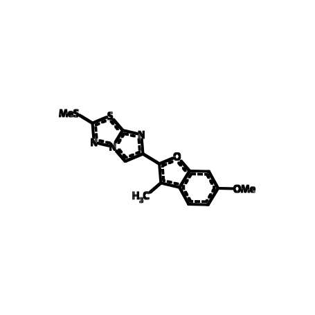 COc1ccc2c(C)c(-c3cn4nc(SC)sc4n3)oc2c1